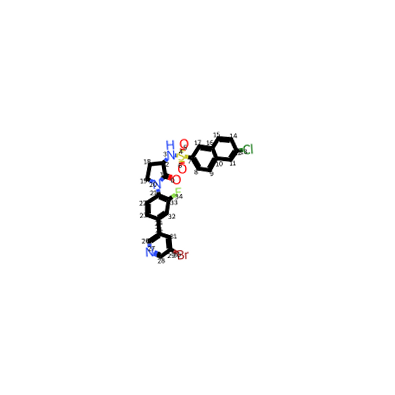 O=C1C(NS(=O)(=O)c2ccc3cc(Cl)ccc3c2)CCN1c1ccc(-c2cncc(Br)c2)cc1F